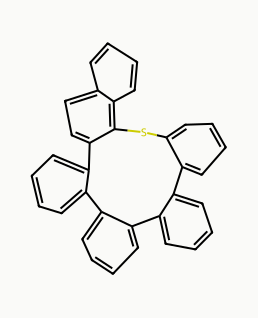 c1ccc2c(c1)Sc1c(ccc3ccccc13)-c1ccccc1-c1ccccc1-c1ccccc1-2